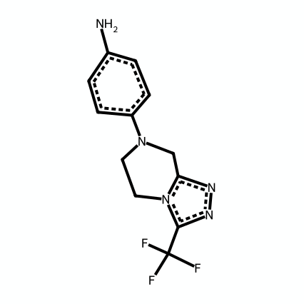 Nc1ccc(N2CCn3c(nnc3C(F)(F)F)C2)cc1